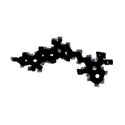 Cc1cc2c(s1)-c1sc3c4c(sc3c1C2(C)C)-c1sc(CC/C=C2\C(=O)c3ccccc3C2=C(C#N)C#N)cc1C4(C)C